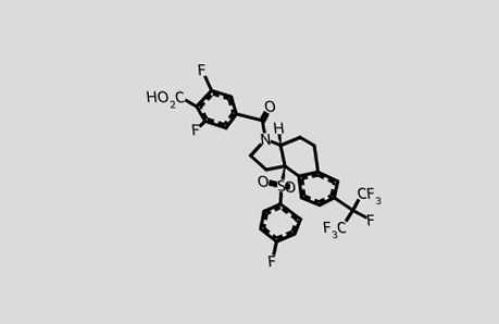 O=C(O)c1c(F)cc(C(=O)N2CC[C@@]3(S(=O)(=O)c4ccc(F)cc4)c4ccc(C(F)(C(F)(F)F)C(F)(F)F)cc4CC[C@@H]23)cc1F